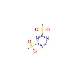 CS(=O)(=O)c1ncnc(S(C)(=O)=O)n1